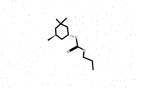 CCCOC(=O)O[C@@H]1C[C@@H](C)CC(C)(C)C1